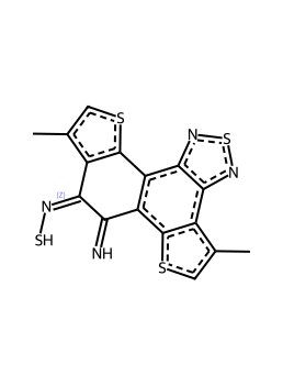 Cc1csc2c1/C(=N/S)C(=N)c1c-2c2nsnc2c2c(C)csc12